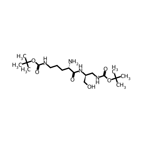 CC(C)(C)OC(=O)NCCC[C@H](N)C(=O)N[C@H](CO)CNC(=O)OC(C)(C)C